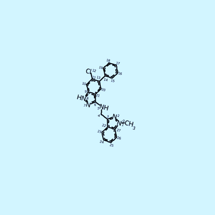 Cn1nc(CNc2n[nH]c3cc(Cl)c(-c4ccccc4)cc23)c2ccccc21